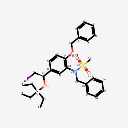 CC[Si](CC)(CC)O[C@@H](CI)c1ccc(OCc2ccccc2)c(N(Cc2ccccc2)S(C)(=O)=O)c1